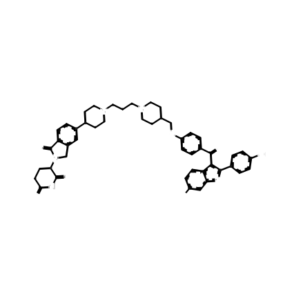 O=C1CCC(N2Cc3cc(C4CCN(CCCN5CCC(COc6ccc(C(=O)c7c(-c8ccc(O)cc8)sc8cc(O)ccc78)cc6)CC5)CC4)ccc3C2=O)C(=O)N1